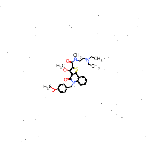 CCN(CC)CCN(C)C(=O)c1sc2c(c1OC)c(=O)n(Cc1ccc(OC)cc1)c1ccccc21